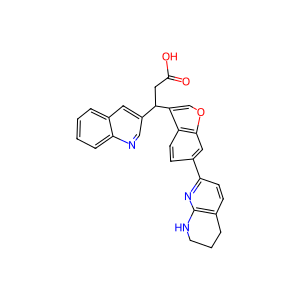 O=C(O)CC(c1cnc2ccccc2c1)c1coc2cc(-c3ccc4c(n3)NCCC4)ccc12